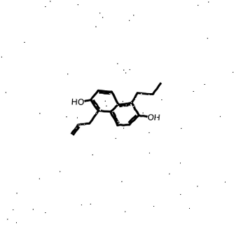 C=CCc1c(O)ccc2c(CCC)c(O)ccc12